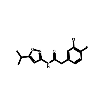 CC(C)c1cc(NC(=O)Cc2ccc(F)c(Cl)c2)no1